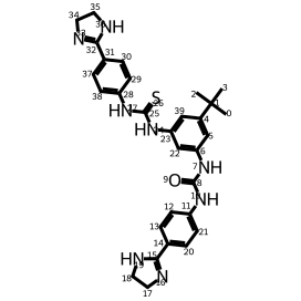 CC(C)(C)c1cc(NC(=O)Nc2ccc(C3=NCCN3)cc2)cc(NC(=S)Nc2ccc(C3=NCCN3)cc2)c1